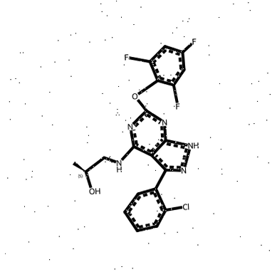 C[C@H](O)CNc1nc(Oc2c(F)cc(F)cc2F)nc2[nH]nc(-c3ccccc3Cl)c12